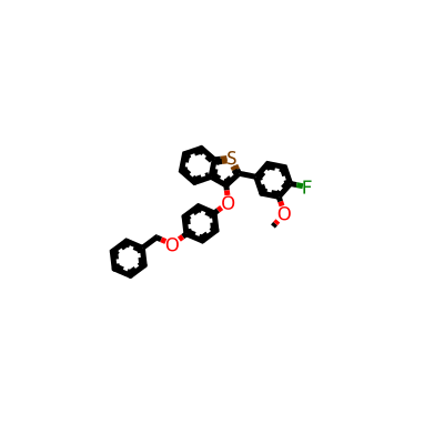 COc1cc(-c2sc3ccccc3c2Oc2ccc(OCc3ccccc3)cc2)ccc1F